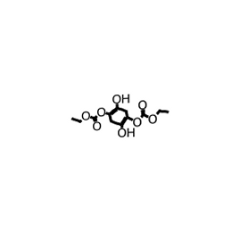 CCOC(=O)OC1=C(O)CC(OC(=O)OCC)=C(O)C1